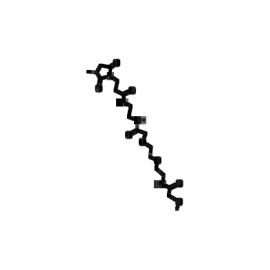 COCC(=O)NCCOCCOCC(=O)NCCNC(=O)CCN1C(=O)CC(C)C1=O